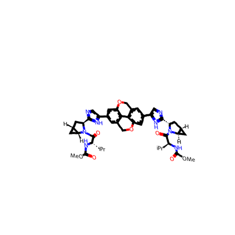 COC(=O)N[C@H](C(=O)N1[C@@H]2C[C@@H]2C[C@H]1c1ncc(-c2cc3c4c(c2)OCc2cc(-c5cnc([C@@H]6C[C@H]7C[C@H]7N6C(=O)[C@@H](NC(=O)OC)C(C)C)[nH]5)cc(c2-4)OC3)[nH]1)C(C)C